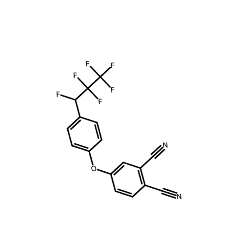 N#Cc1ccc(Oc2ccc(C(F)C(F)(F)C(F)(F)F)cc2)cc1C#N